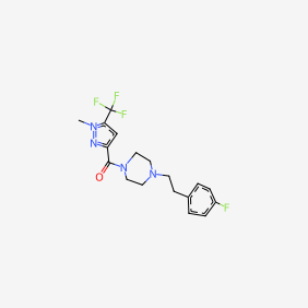 Cn1nc(C(=O)N2CCN(CCc3ccc(F)cc3)CC2)cc1C(F)(F)F